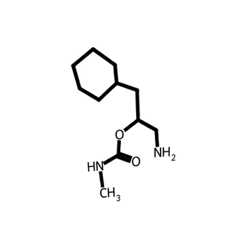 CNC(=O)OC(CN)CC1CCCCC1